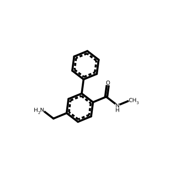 CNC(=O)c1ccc(CN)cc1-c1ccccc1